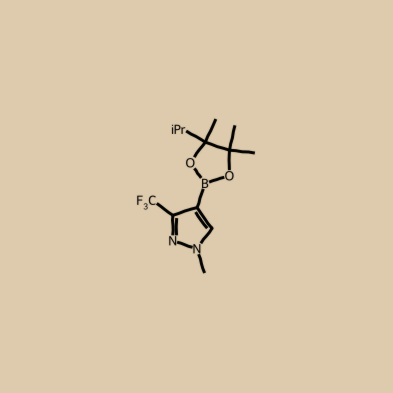 CC(C)C1(C)OB(c2cn(C)nc2C(F)(F)F)OC1(C)C